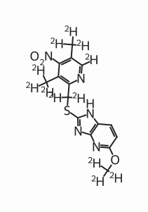 [2H]c1nc(C([2H])([2H])Sc2nc3nc(OC([2H])([2H])[2H])ccc3[nH]2)c(C([2H])([2H])[2H])c([N+](=O)[O-])c1C([2H])([2H])[2H]